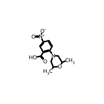 CC1CN(c2ccc([N+](=O)[O-])cc2C(=O)O)CC(C)O1